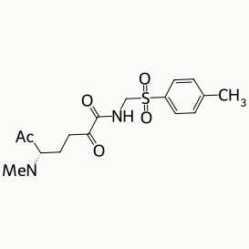 CN[C@@H](CCC(=O)C(=O)NCS(=O)(=O)c1ccc(C)cc1)C(C)=O